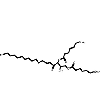 CCCCCCCCCCCCCCCCCCCCCCCC(=S)C(OC(=O)CCCCCCCCCCCCCCC)C(O)COC(=O)CCCCCCCCCCCCCCC